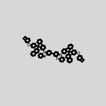 Fc1ccccc1N(c1ccc(-c2ccc(N(c3ccc4c(c3)C(c3ccc(Oc5ccc6c(c5)CC6)cc3)(c3ccc5ccccc5c3)c3ccccc3-4)c3ccccc3F)cc2)cc1)c1ccc2c(c1)C(c1ccc(Oc3ccc4c(c3)CC4)cc1)(c1ccc3ccccc3c1)c1ccccc1-2